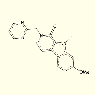 COc1ccc2c3cnn(Cc4ncccn4)c(=O)c3n(C)c2c1